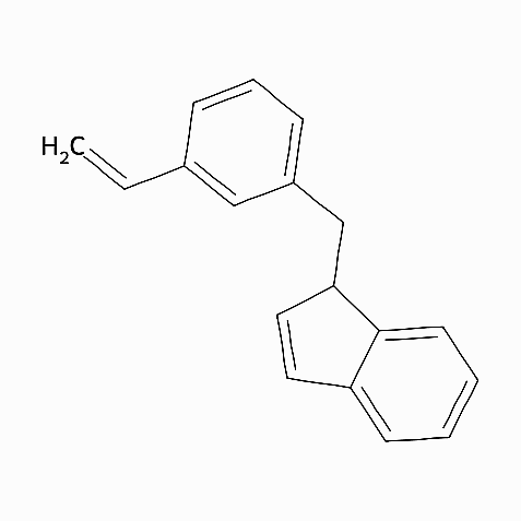 C=Cc1cccc(CC2C=Cc3ccccc32)c1